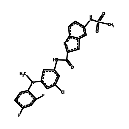 CN(c1cc(Cl)cc(NC(=O)c2cc3cc(NS(C)(=O)=O)ccc3s2)c1)c1ccc(F)cc1F